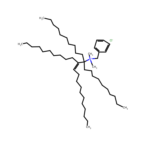 CCCCCCCCCC/C=C(/CCCCCCCCCC)C(CCCCCCCCCC)(CCCCCCCCCC)[N+](C)(C)Cc1ccccc1.[Cl-]